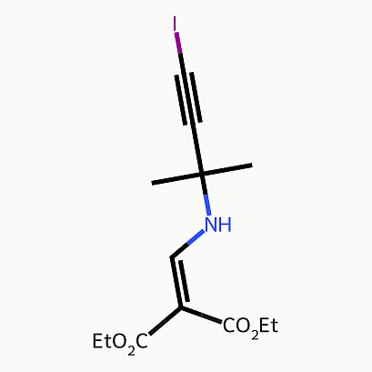 CCOC(=O)C(=CNC(C)(C)C#CI)C(=O)OCC